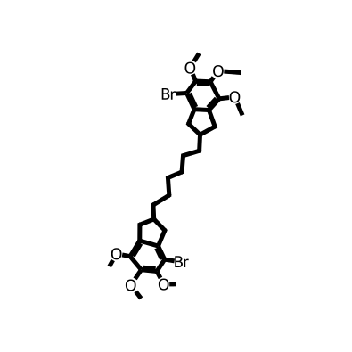 COc1c(Br)c2c(c(OC)c1OC)CC(CCCCCCC1Cc3c(Br)c(OC)c(OC)c(OC)c3C1)C2